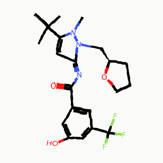 Cn1c(C(C)(C)C)c/c(=N\C(=O)c2cc(O)cc(C(F)(F)F)c2)n1C[C@H]1CCCO1